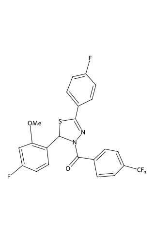 COc1cc(F)ccc1C1SC(c2ccc(F)cc2)=NN1C(=O)c1ccc(C(F)(F)F)cc1